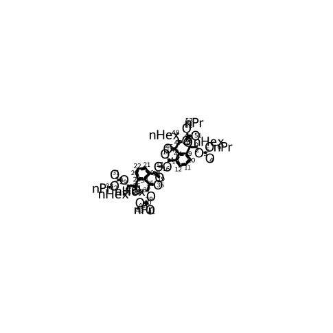 CCCCCCC(OC(=O)OCCC)C(=O)c1cccc(C(=O)OOC(=O)c2cccc(C(=O)C(CCCCCC)OC(=O)OCCC)c2C(=O)C(CCCCCC)OC(=O)OCCC)c1C(=O)C(CCCCCC)OC(=O)OCCC